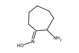 NC1CCCCCC1=NO